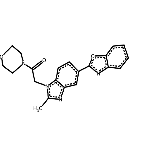 Cc1nc2cc(-c3nc4ccccc4o3)ccc2n1CC(=O)N1CCOCC1